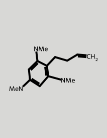 C=CCCc1c(NC)cc(NC)cc1NC